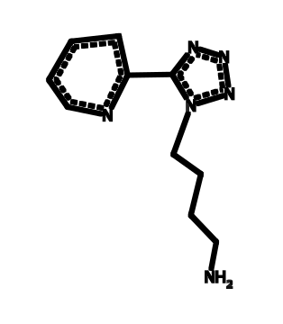 NCCCCn1nnnc1-c1ccccn1